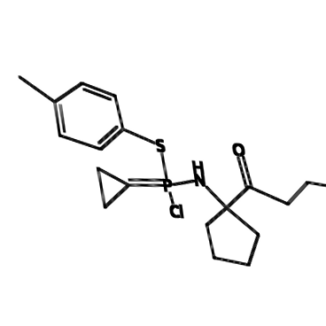 CCCC(=O)C1(NP(Cl)(Sc2ccc(C)cc2)=C2CC2)CCCC1